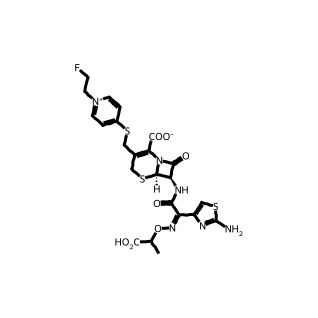 CC(O/N=C(\C(=O)N[C@@H]1C(=O)N2C(C(=O)[O-])=C(CSc3cc[n+](CCF)cc3)CS[C@H]12)c1csc(N)n1)C(=O)O